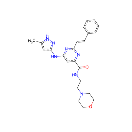 Cc1cc(Nc2cc(C(=O)NCCN3CCOCC3)nc(/C=C/c3ccccc3)n2)n[nH]1